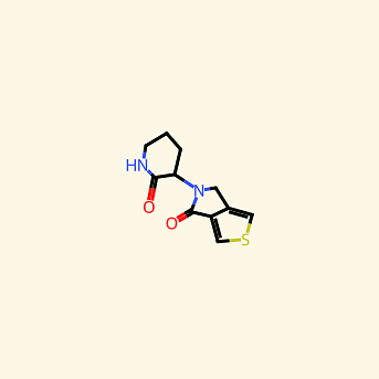 O=C1NCCCC1N1Cc2cscc2C1=O